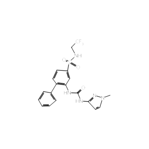 Cn1ccc(NC(=O)Nc2cc(S(=O)(=O)NCC(F)(F)F)ccc2-c2ccccc2)n1